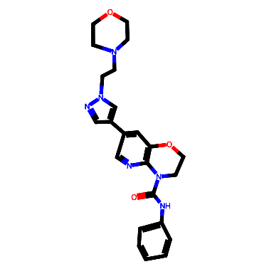 O=C(Nc1ccccc1)N1CCOc2cc(-c3cnn(CCN4CCOCC4)c3)cnc21